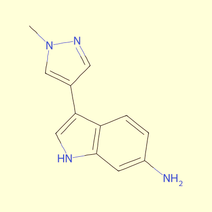 Cn1cc(-c2c[nH]c3cc(N)ccc23)cn1